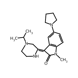 CC(C)N1CCN/C(=C2\C(=O)N(C)c3ccc(N4CCCC4)cc32)C1